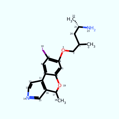 CC(COc1cc2c(cc1I)-c1ccncc1C(C)O2)C[C@H](C)N